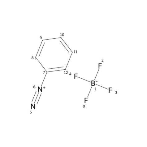 F[B-](F)(F)F.N#[N+]c1[c]cccc1